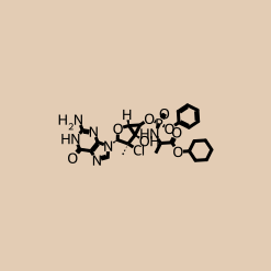 CC(NP(=O)(Oc1ccccc1)OC1[C@H]2O[C@@H](n3cnc4c(=O)[nH]c(N)nc43)[C@](C)(Cl)[C@@]12O)C(=O)OC1CCCCC1